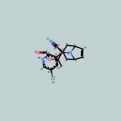 CC(OC=O)C(C)N1C2C=CC1CC(C#N)(c1cncc(Cl)c1)C2